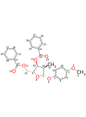 COc1ccc(O[C@@H]2O[C@H](COC(=O)c3ccccc3)[C@@H](OC(=O)c3ccccc3)[C@H]2C)cc1